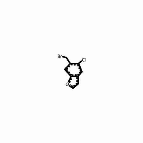 Clc1cc2ccoc2cc1CBr